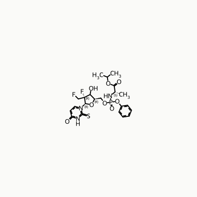 CC(C)OC(=O)[C@H](C)NP(=O)(OC[C@H]1O[C@@H](n2ccc(=O)[nH]c2=S)[C@@](F)(CF)C1O)Oc1ccccc1